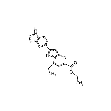 CCOC(=O)c1cc(CC)n2nc(-c3ccc4[nH]ccc4c3)cc2n1